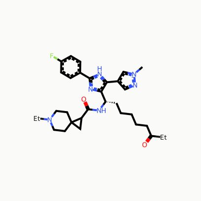 CCC(=O)CCCCC[C@H](NC(=O)C1CC12CCN(CC)CC2)c1nc(-c2ccc(F)cc2)[nH]c1-c1cnn(C)c1